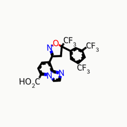 O=C(O)c1ccc(C2=NOC(c3cc(C(F)(F)F)cc(C(F)(F)F)c3)(C(F)(F)F)C2)c2nccn12